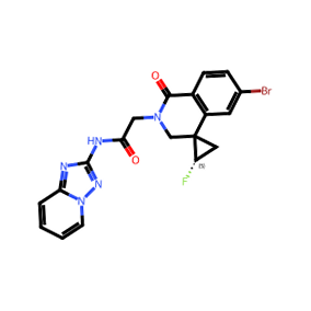 O=C(CN1CC2(C[C@@H]2F)c2cc(Br)ccc2C1=O)Nc1nc2ccccn2n1